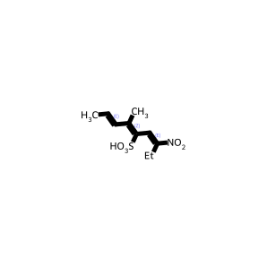 C/C=C/C(C)=C(/C=C(\CC)[N+](=O)[O-])S(=O)(=O)O